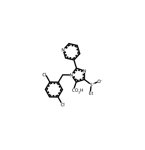 CC[S+]([O-])c1nc(-c2cccnc2)n(Cc2cc(Cl)ccc2Cl)c1C(=O)O